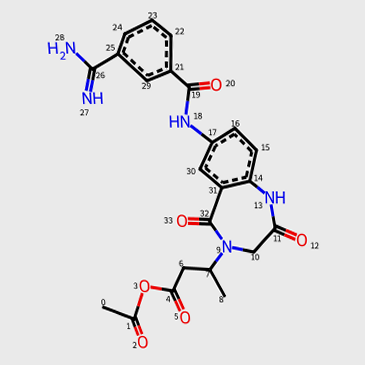 CC(=O)OC(=O)CC(C)N1CC(=O)Nc2ccc(NC(=O)c3cccc(C(=N)N)c3)cc2C1=O